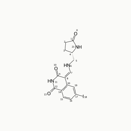 O=C1CC[C@@H](CN/C=C2\C(=O)NC(=O)c3ccc(I)cc32)N1